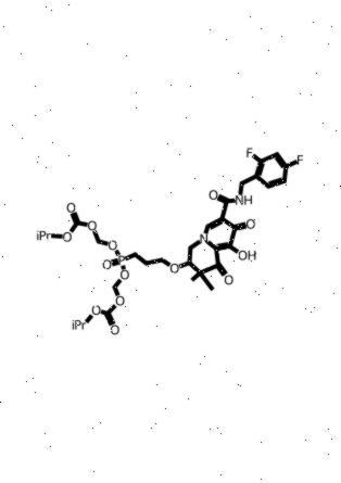 CC(C)OC(=O)OCOP(=O)(CCCOC1Cn2cc(C(=O)NCc3ccc(F)cc3F)c(=O)c(O)c2C(=O)C1(C)C)OCOC(=O)OC(C)C